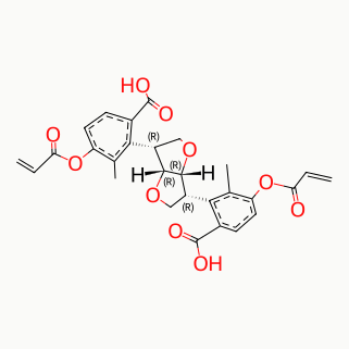 C=CC(=O)Oc1ccc(C(=O)O)c([C@@H]2CO[C@H]3[C@@H]2OC[C@H]3c2c(C(=O)O)ccc(OC(=O)C=C)c2C)c1C